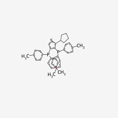 Cc1ccc(P(c2ccc(C)cc2)c2csc(C3CCCC3)c2P(c2ccc(C)cc2)c2ccc(C)cc2)cc1